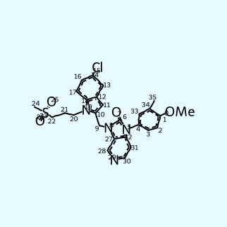 COc1ccc(-n2c(=O)n(Cc3cc4cc(Cl)ccc4n3CCCS(C)(=O)=O)c3cnccc32)cc1C